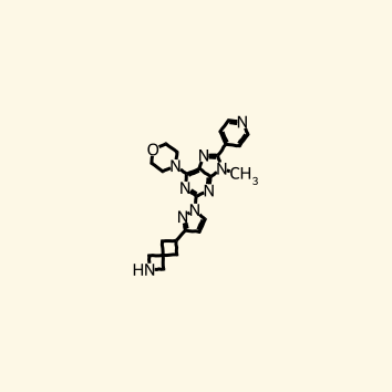 Cn1c(-c2ccncc2)nc2c(N3CCOCC3)nc(-n3ccc(C4CC5(CNC5)C4)n3)nc21